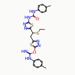 CCSC(Cc1nnc(OC(=N)Nc2ccc(C)cc2)s1)c1nnc(NC(=O)Nc2ccc(C)cc2)s1